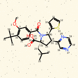 COc1cc(C(=O)N2[C@@H](c3cccs3)[C@@H](c3cnccn3)C[C@@]2(CC(C)C)C(=O)O)ccc1C(C)(C)C